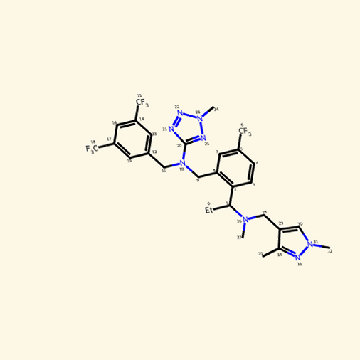 CCC(c1ccc(C(F)(F)F)cc1CN(Cc1cc(C(F)(F)F)cc(C(F)(F)F)c1)c1nnn(C)n1)N(C)Cc1cn(C)nc1C